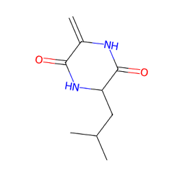 C=C1NC(=O)C(CC(C)C)NC1=O